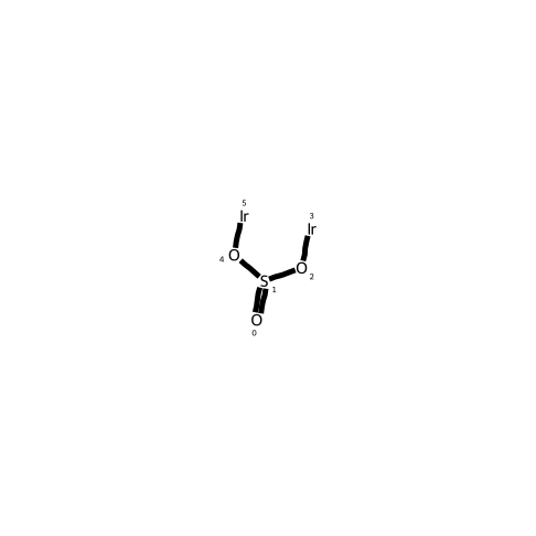 O=S([O][Ir])[O][Ir]